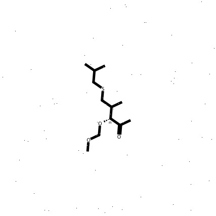 COCO[C@@H](C(C)=O)C(C)CSCC(C)C